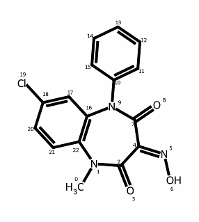 Cn1c(=O)c(=NO)c(=O)n(-c2ccccc2)c2cc(Cl)ccc21